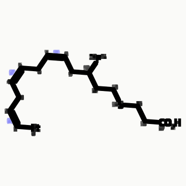 CC/C=C\C/C=C\C/C=C\CC([18F])CCSCCC(=O)O